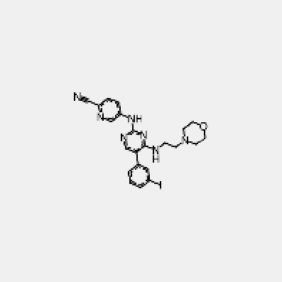 N#Cc1ccc(Nc2ncc(-c3cccc(I)c3)c(NCCN3CCOCC3)n2)cn1